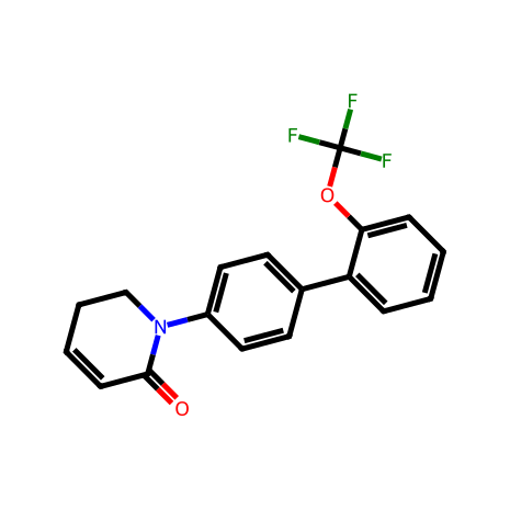 O=C1C=CCCN1c1ccc(-c2ccccc2OC(F)(F)F)cc1